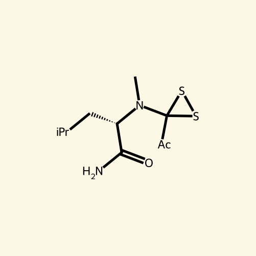 CC(=O)C1(N(C)[C@@H](CC(C)C)C(N)=O)SS1